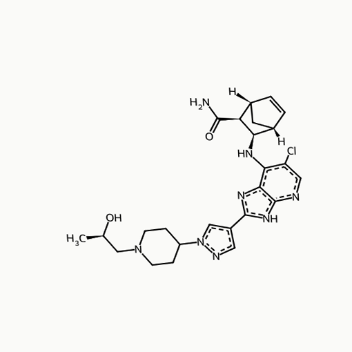 C[C@@H](O)CN1CCC(n2cc(-c3nc4c(N[C@H]5[C@@H](C(N)=O)[C@@H]6C=C[C@H]5C6)c(Cl)cnc4[nH]3)cn2)CC1